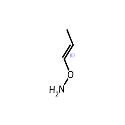 C/C=C/ON